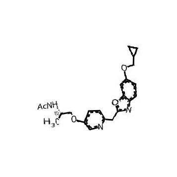 CC(=O)N[C@@H](C)COc1ccc(Cc2nc3ccc(OCC4CC4)cc3o2)nc1